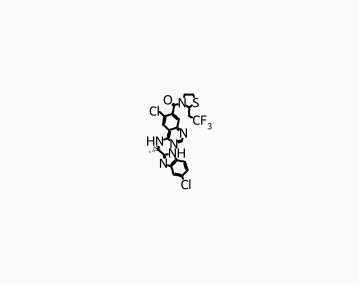 C[C@H](Nc1ncnc2cc(C(=O)N3CCSC3CC(F)(F)F)c(Cl)cc12)c1nc2cc(Cl)ccc2[nH]1